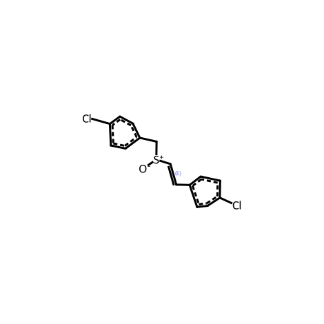 [O-][S+](/C=C/c1ccc(Cl)cc1)Cc1ccc(Cl)cc1